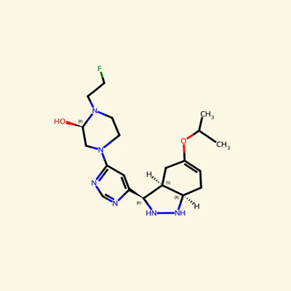 CC(C)OC1=CC[C@H]2NN[C@@H](c3cc(N4CCN(CCF)[C@H](O)C4)ncn3)[C@H]2C1